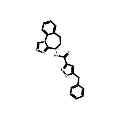 O=C(N[C@H]1CCc2ccccc2-n2cnnc21)c1cc(Cc2ccccc2)on1